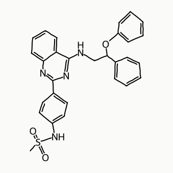 CS(=O)(=O)Nc1ccc(-c2nc(NCC(Oc3ccccc3)c3ccccc3)c3ccccc3n2)cc1